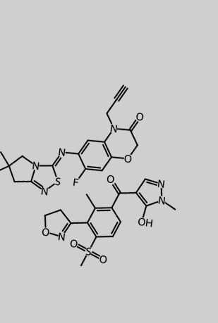 C#CCN1C(=O)COc2cc(F)c(/N=c3\snc4n3CC(C)(C)C4)cc21.Cc1c(C(=O)c2cnn(C)c2O)ccc(S(C)(=O)=O)c1C1=NOCC1